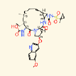 CC[C@@H]1C[C@H](C)CCC=C[C@@H]2C[C@@]2(C(=O)NS(=O)(=O)C2(C)CC2)NC(=O)[C@@H]2C[C@@H](Oc3cnc4ccc(OC)cc4c3)CN2C(=O)[C@H]1NC(=O)O